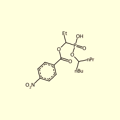 CCCCC(CCC)OP(=O)(O)C(CC)OC(=O)c1ccc([N+](=O)[O-])cc1